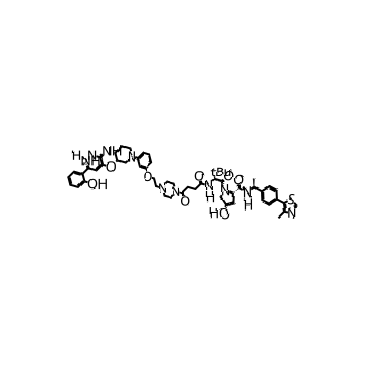 Cc1ncsc1-c1ccc([C@H](C)NC(=O)[C@@H]2C[C@@H](O)CN2C(=O)[C@@H](NC(=O)CCC(=O)N2CCN(CCOc3cccc(N4CCCC(O/C(=C/C(=N)c5ccccc5O)C(=N)N)C4)c3)CC2)C(C)(C)C)cc1